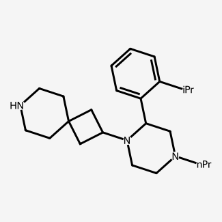 CCCN1CCN(C2CC3(CCNCC3)C2)C(c2ccccc2C(C)C)C1